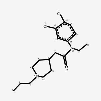 CCCN1CCC(CC(=O)N(CC)c2ccc(Cl)c(Cl)c2)CC1